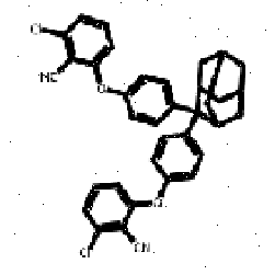 N#Cc1c(Cl)cccc1Oc1ccc(C2(c3ccc(Oc4cccc(Cl)c4C#N)cc3)C3CC4CC(C3)CC2C4)cc1